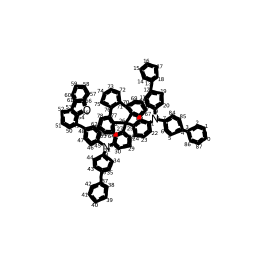 c1ccc(-c2ccc(N(c3ccc(-c4ccccc4)cc3)c3cccc(C4(c5cccc(N(c6ccc(-c7ccccc7)cc6)c6ccc(-c7cccc8c7oc7ccccc78)cc6)c5)c5ccccc5-c5ccccc5-c5ccccc54)c3)cc2)cc1